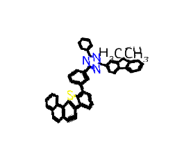 CC1(C)c2ccccc2-c2ccc(-c3nc(-c4ccccc4)nc(-c4cccc(-c5cccc6c5sc5c6ccc6ccc7ccccc7c65)c4)n3)cc21